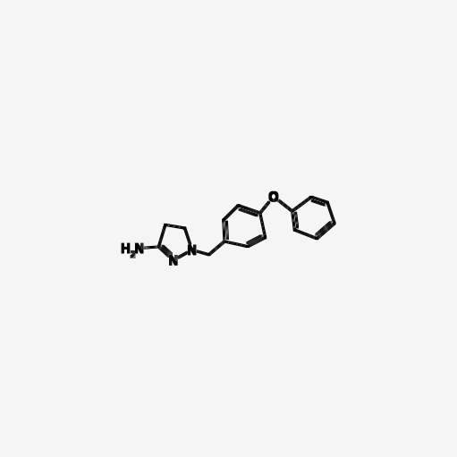 NC1=NN(Cc2ccc(Oc3ccccc3)cc2)CC1